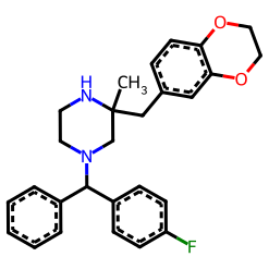 CC1(Cc2ccc3c(c2)OCCO3)CN(C(c2ccccc2)c2ccc(F)cc2)CCN1